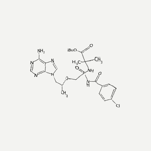 CC(C)COC(=O)C(C)(C)NP(=O)(COC(C)Cn1cnc2c(N)ncnc21)NC(=O)c1ccc(Cl)cc1